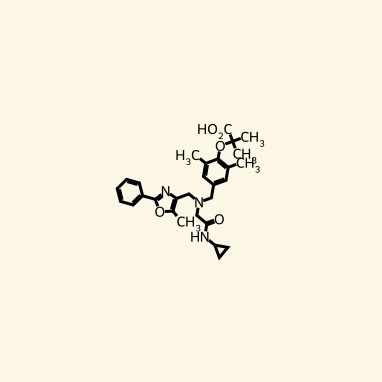 Cc1cc(CN(CC(=O)NC2CC2)Cc2nc(-c3ccccc3)oc2C)cc(C)c1OC(C)(C)C(=O)O